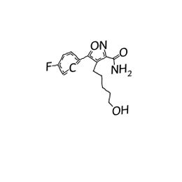 NC(=O)c1noc(-c2ccc(F)cc2)c1CCCCCO